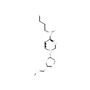 CCCCN(C)C1=NCN([C@H]2CS[C@@H](COC)O2)C=C1